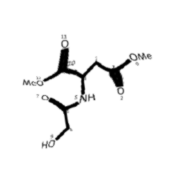 COC(=O)CC(NC(=O)CO)C(=O)OC